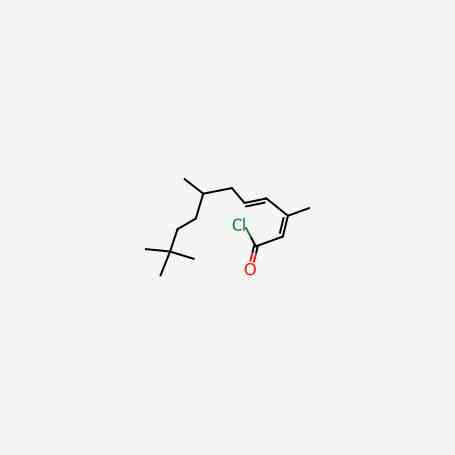 CC(C=CCC(C)CCC(C)(C)C)=CC(=O)Cl